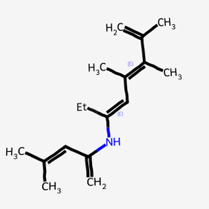 C=C(C=C(C)C)N/C(=C/C(C)=C(\C)C(=C)C)CC